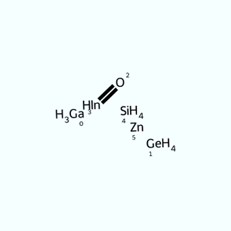 [GaH3].[GeH4].[O]=[InH].[SiH4].[Zn]